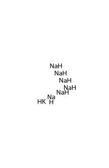 [KH].[NaH].[NaH].[NaH].[NaH].[NaH].[NaH]